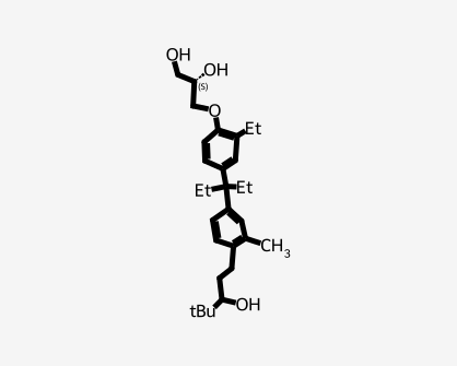 CCc1cc(C(CC)(CC)c2ccc(CCC(O)C(C)(C)C)c(C)c2)ccc1OC[C@@H](O)CO